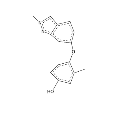 Cc1cc(O)ccc1Oc1ccc2cn(C)nc2c1